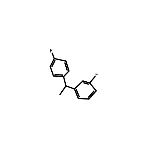 CC(c1ccc(F)cc1)c1cccc(F)c1